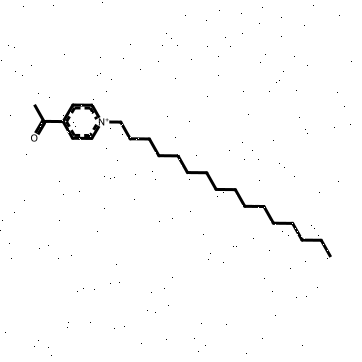 CCCCCCCCCCCCCCCC[n+]1ccc(C(C)=O)cc1